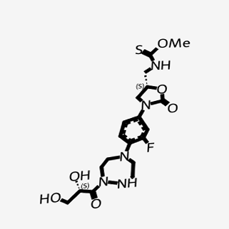 COC(=S)NC[C@H]1CN(c2ccc(N3CCNN(C(=O)[C@@H](O)CO)CC3)c(F)c2)C(=O)O1